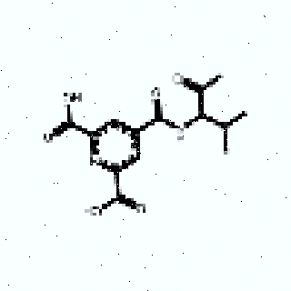 CC(=O)C(NC(=O)c1cc(C(=O)O)nc(C(=O)O)c1)C(C)C